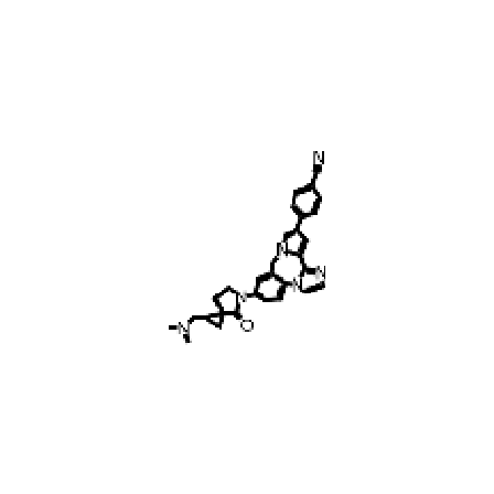 CN(C)CC1CC12CCN(c1ccc3c(c1)Cn1cc(-c4ccc(C#N)cc4)cc1-c1nccn1-3)C2=O